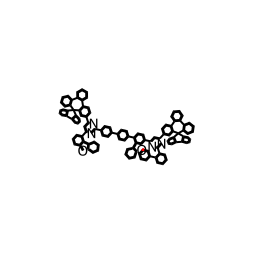 c1ccc(-c2ccccc2-c2nc(-c3ccc4c(c3)C3(c5ccccc5-c5ccccc5-4)c4ccccc4-c4ccccc43)cc(-c3ccc(-c4ccc(-c5ccc(-c6nc(-c7ccc8c(c7)C7(c9ccccc9-c9ccccc9-8)c8ccccc8-c8ccccc87)cc(-c7cccc8oc9ccccc9c78)n6)cc5)cc4)c4c3oc3ccccc34)n2)cc1